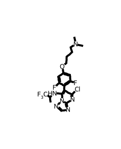 CC(Nc1c(-c2c(F)cc(OCCCCN(C)C)cc2F)c(Cl)nc2ncnn12)C(F)(F)F